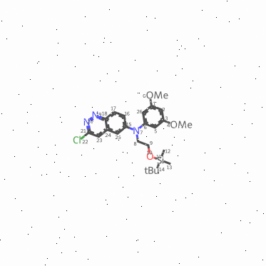 COc1cc(OC)cc(N(CCO[Si](C)(C)C(C)(C)C)c2ccc3nnc(Cl)cc3c2)c1